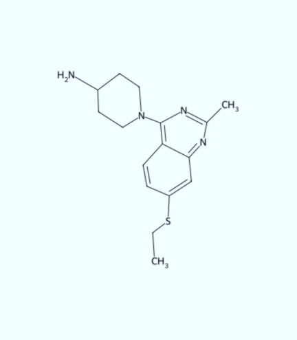 CCSc1ccc2c(N3CCC(N)CC3)nc(C)nc2c1